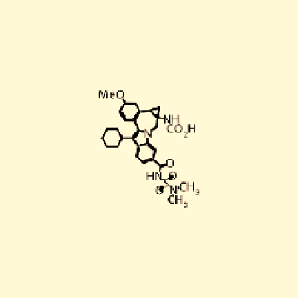 COc1ccc2c(c1)C1CC1(NC(=O)O)Cn1c-2c(C2CCCCC2)c2ccc(C(=O)NS(=O)(=O)N(C)C)cc21